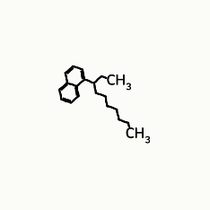 CCCCCCCC(CC)c1cccc2ccccc12